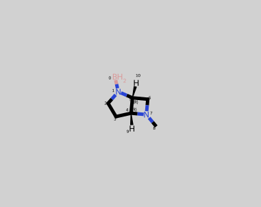 BN1CC[C@@H]2[C@H]1CN2C